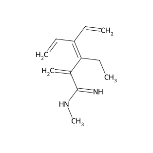 C=CC(C=C)=C(CC)C(=C)C(=N)NC